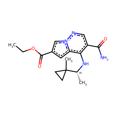 CCOC(=O)c1cc2c(N[C@H](C)C3(C)CC3)c(C(N)=O)cnn2c1